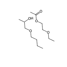 CCCCOCC(C)O.CCOCCOC(C)=O